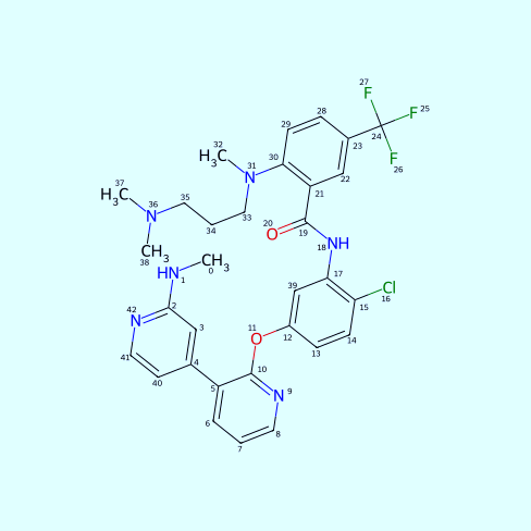 CNc1cc(-c2cccnc2Oc2ccc(Cl)c(NC(=O)c3cc(C(F)(F)F)ccc3N(C)CCCN(C)C)c2)ccn1